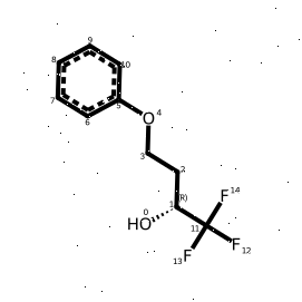 O[C@H](CCOc1cc[c]cc1)C(F)(F)F